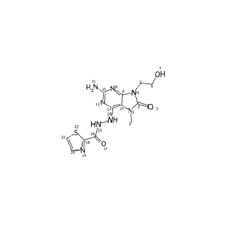 Cn1c(=O)n(CCO)c2nc(N)nc(NNC(=O)c3nccs3)c21